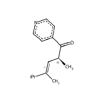 C/C(=C\[C@H](C)C(=O)c1ccncc1)C(C)C